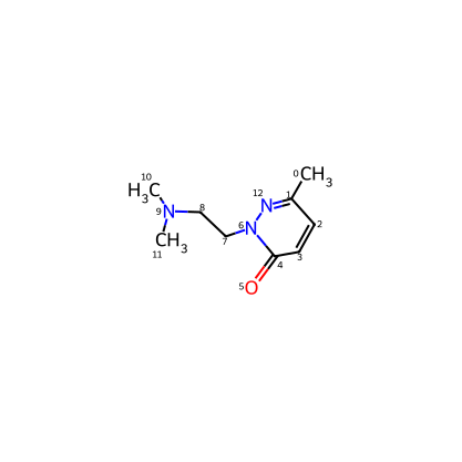 Cc1ccc(=O)n(CCN(C)C)n1